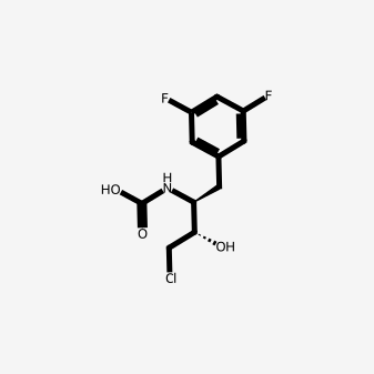 O=C(O)N[C@@H](Cc1cc(F)cc(F)c1)[C@H](O)CCl